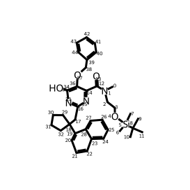 CN(CCO[Si](C)(C)C(C)(C)C)C(=O)c1nc(CC2(c3cccc4ccccc34)CCCC2)nc(O)c1OCc1ccccc1